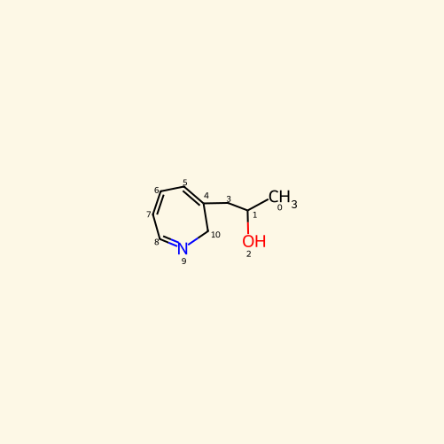 CC(O)CC1=CC=CC=NC1